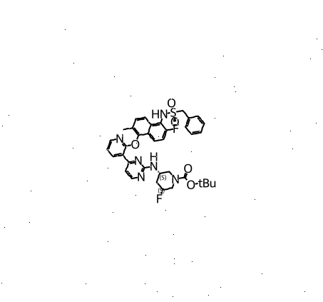 Cc1ccc2c(NS(=O)(=O)Cc3ccccc3)c(F)ccc2c1Oc1ncccc1-c1ccnc(N[C@H]2C[C@H](F)CN(C(=O)OC(C)(C)C)C2)n1